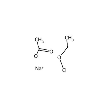 CC(=O)[O-].CCOCl.[Na+]